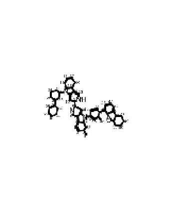 CC1C=CC2C3C=NC(C4CC5C(=CN4)C4CCC=CC4N5C4CCCC(C5=CC=CCC5)C4)CC3N(C3=CC(C)C(C4C=CC=C5C6CCCCC6OC54)C=C3)C2C1